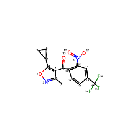 Cc1noc(C2CC2)c1C(=O)c1ccc(C(F)(F)F)cc1[N+](=O)[O-]